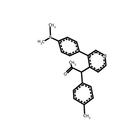 CC(=O)C(c1ccc(C)cc1)c1ccncc1-c1ccc(N(C)C)cc1